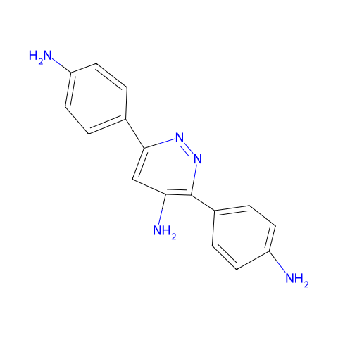 Nc1ccc(-c2cc(N)c(-c3ccc(N)cc3)nn2)cc1